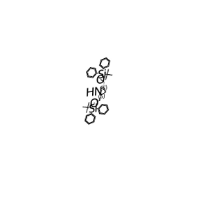 CC(C)(C)[Si](OC[C@@H]1C[C@@H](CO[Si](c2ccccc2)(c2ccccc2)C(C)(C)C)N1)(c1ccccc1)c1ccccc1